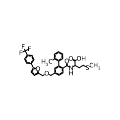 CSCCC(NC(=O)c1ccc(COCc2ccc(-c3ccc(C(F)(F)F)cc3)o2)cc1-c1ccccc1C)C(=O)O